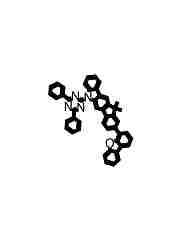 CC1(C)c2cc(-c3cccc4c3oc3ccccc34)ccc2-c2cc3c(cc21)c1ccccc1n3-c1nc(-c2ccccc2)nc(-c2ccccc2)n1